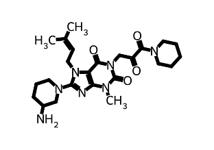 CC(C)=CCn1c(N2CCCC(N)C2)nc2c1c(=O)n(CC(=O)C(=O)N1CCCCC1)c(=O)n2C